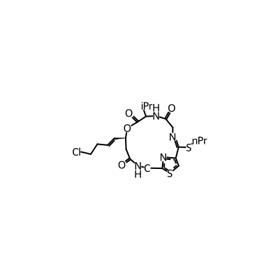 CCCS/C1=N\CC(=O)NC(C(C)C)C(=O)O[C@H](/C=C/CCCl)CC(=O)NCc2nc1cs2